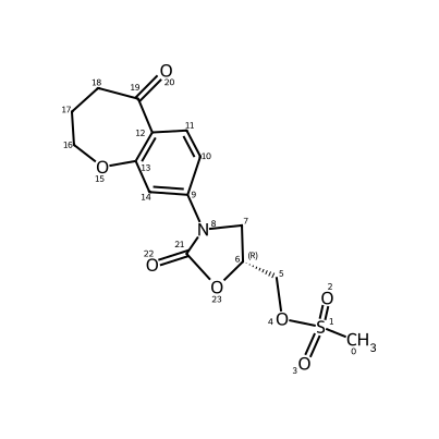 CS(=O)(=O)OC[C@H]1CN(c2ccc3c(c2)OCCCC3=O)C(=O)O1